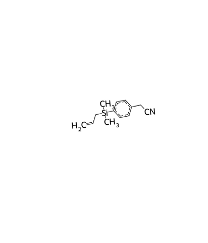 C=CC[Si](C)(C)c1ccc(CC#N)cc1